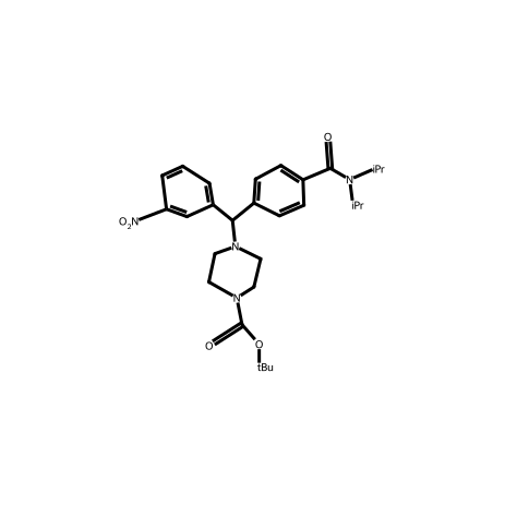 CC(C)N(C(=O)c1ccc(C(c2cccc([N+](=O)[O-])c2)N2CCN(C(=O)OC(C)(C)C)CC2)cc1)C(C)C